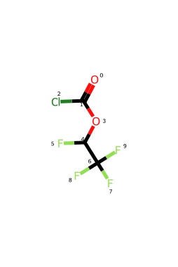 O=C(Cl)OC(F)C(F)(F)F